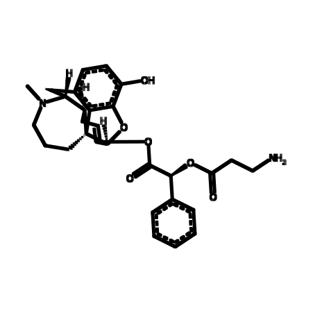 CN1CCC[C@]23c4c5ccc(O)c4O[C@H]2C(OC(=O)[C@@H](OC(=O)CCN)c2ccccc2)=CC[C@@]3(O)[C@H]1C5